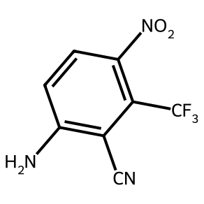 N#Cc1c(N)ccc([N+](=O)[O-])c1C(F)(F)F